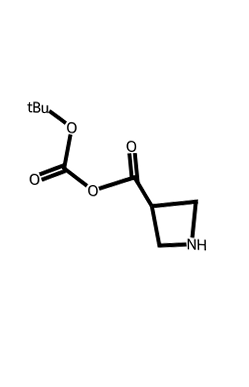 CC(C)(C)OC(=O)OC(=O)C1CNC1